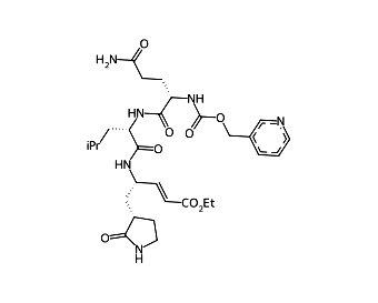 CCOC(=O)/C=C/[C@H](C[C@@H]1CCNC1=O)NC(=O)[C@H](CC(C)C)NC(=O)[C@H](CCC(N)=O)NC(=O)OCc1cccnc1